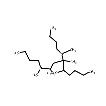 CCCCC(C)C(C)(CC(C)N(C)CCCC)N(C)CCCC